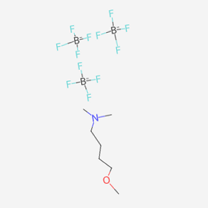 COCCCCN(C)C.F[B-](F)(F)F.F[B-](F)(F)F.F[B-](F)(F)F